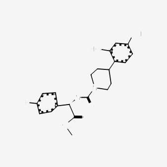 COC(=O)[C@H](NC(=O)N1CCC(c2ccc(O)cc2O)CC1)c1ccc(F)cc1